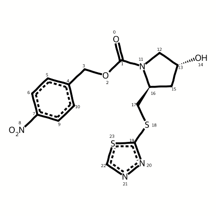 O=C(OCc1ccc([N+](=O)[O-])cc1)N1C[C@H](O)C[C@H]1CSc1nncs1